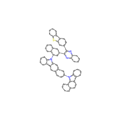 c1ccc2c(-n3c4ccccc4c4cc5ccc(-n6c7ccccc7c7ccc8ccccc8c76)cc5cc43)cc(-c3nc4ccccc4nc3-c3ccc4c(c3)sc3ccccc34)cc2c1